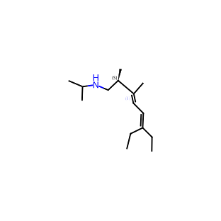 CCC(=C/C=C(\C)[C@H](C)CNC(C)C)CC